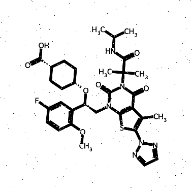 COc1ccc(F)cc1[C@H](Cn1c(=O)n(C(C)(C)C(=O)NC(C)C)c(=O)c2c(C)c(-n3nccn3)sc21)O[C@H]1CC[C@@H](C(=O)O)CC1